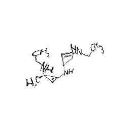 CCNC1=C[C@H]1NC1=C[C@]1(C)NCC